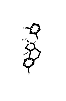 CN1C[C@@H]2c3ccc(Cl)cc3CCC2[C@H]1Cc1cccc(Cl)c1